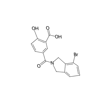 O=C(O)c1cc(C(=O)N2Cc3cccc(Br)c3C2)ccc1O